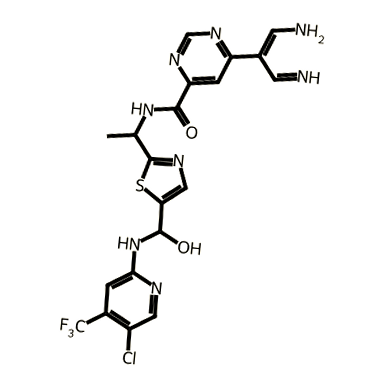 CC(NC(=O)c1cc(/C(C=N)=C/N)ncn1)c1ncc(C(O)Nc2cc(C(F)(F)F)c(Cl)cn2)s1